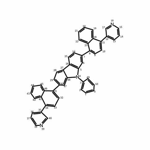 c1ccc(-n2c3cc(-c4ccc(-c5cccnc5)c5ccccc45)ccc3c3ccc(-c4ccc(-c5cccnc5)c5ccccc45)cc32)cc1